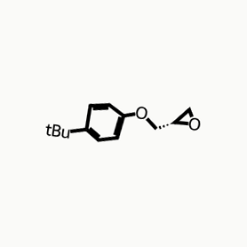 CC(C)(C)c1ccc(OC[C@@H]2CO2)cc1